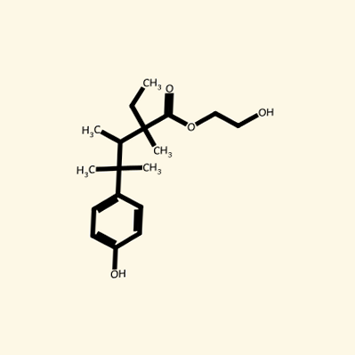 CCC(C)(C(=O)OCCO)C(C)C(C)(C)c1ccc(O)cc1